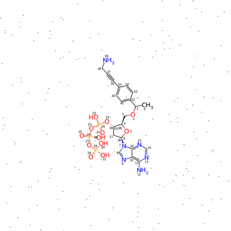 CC(OC[C@H]1O[C@@H](n2cnc3c(N)ncnc32)C[C@@H]1OP(=O)(O)OP(=O)(O)OP(=O)(O)O)c1ccc(C#CCN)cc1